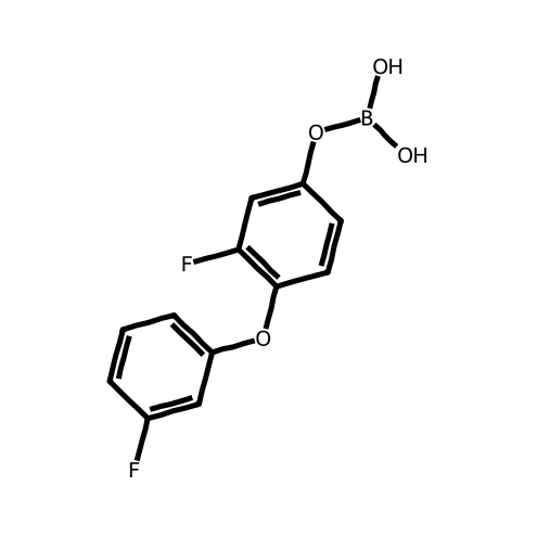 OB(O)Oc1ccc(Oc2cccc(F)c2)c(F)c1